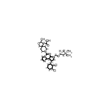 C[C@@H]1OCC2(CCN(c3nc4c(c(-c5cccc(Cl)c5Cl)cn4COCC[Si](C)(C)C)c4nccn34)CC2)[C@@H]1C(=O)O